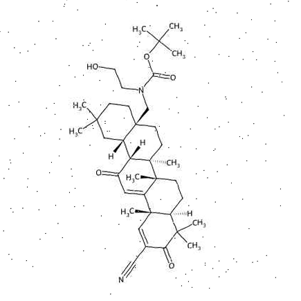 CC1(C)CC[C@]2(CN(CCO)C(=O)OC(C)(C)C)CC[C@]3(C)[C@H](C(=O)C=C4[C@@]5(C)C=C(C#N)C(=O)C(C)(C)[C@@H]5CC[C@]43C)[C@@H]2C1